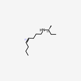 CCC/C=C\CCCN[C@@H](C)CC